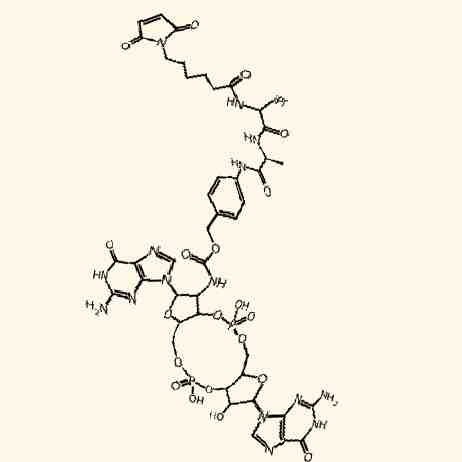 CC(C)C(NC(=O)CCCCCN1C(=O)C=CC1=O)C(=O)N[C@@H](C)C(=O)Nc1ccc(COC(=O)NC2C3OP(=O)(O)OCC4OC(n5cnc6c(=O)[nH]c(N)nc65)C(O)C4OP(=O)(O)OCC3OC2n2cnc3c(=O)[nH]c(N)nc32)cc1